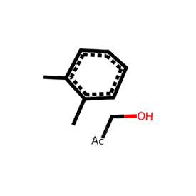 CC(=O)CO.Cc1ccccc1C